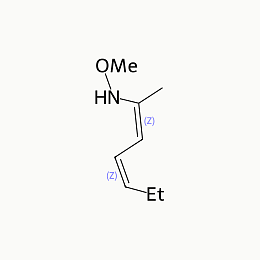 CC/C=C\C=C(\C)NOC